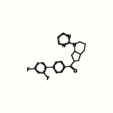 O=C(c1ccc(-c2ccc(F)cc2F)cc1)C1CC2CCCN(c3ncccn3)C2C1